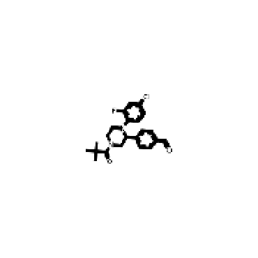 CC(C)(C)C(=O)N1CCN(c2ccc(Cl)cc2F)C(c2ccc(C=O)cc2)C1